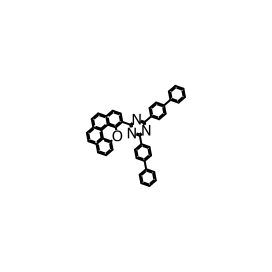 c1ccc(-c2ccc(-c3nc(-c4ccc(-c5ccccc5)cc4)nc(-c4ccc5ccc6ccc7cccc8c7c6c5c4O8)n3)cc2)cc1